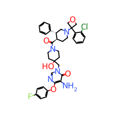 Nc1c(Oc2ccc(F)cc2)ncn(CC2(O)CCN(C(=O)[C@@H]3CCN(C4(c5ccccc5Cl)COC4)C[C@H]3c3ccccc3)CC2)c1=O